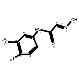 O=C(/C=N/O)Nc1ccc(F)c(C(F)(F)F)c1